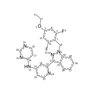 CCOc1cc(F)c(Cn2nc(-c3cc(Nc4ccncn4)ccn3)c3ccccc32)c(F)c1